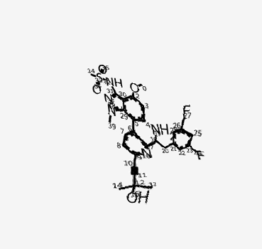 COc1ccc(-c2ccc(C#CC(C)(C)O)nc2[C@@H](N)Cc2cc(F)cc(F)c2)c2c1c(NS(C)(=O)=O)nn2C